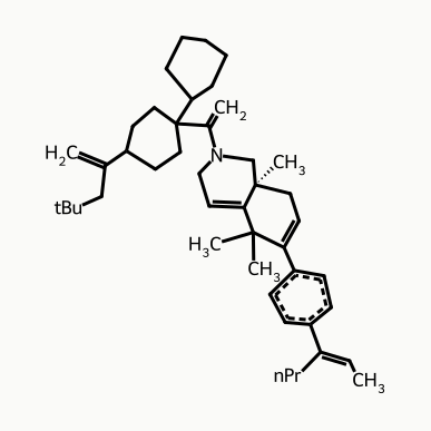 C=C(CC(C)(C)C)C1CCC(C(=C)N2CC=C3C(C)(C)C(c4ccc(/C(=C/C)CCC)cc4)=CC[C@]3(C)C2)(C2CCCCC2)CC1